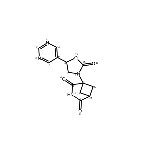 O=C1NC(=O)C2(N3CC(c4cncnc4)OC3=O)CC1C2